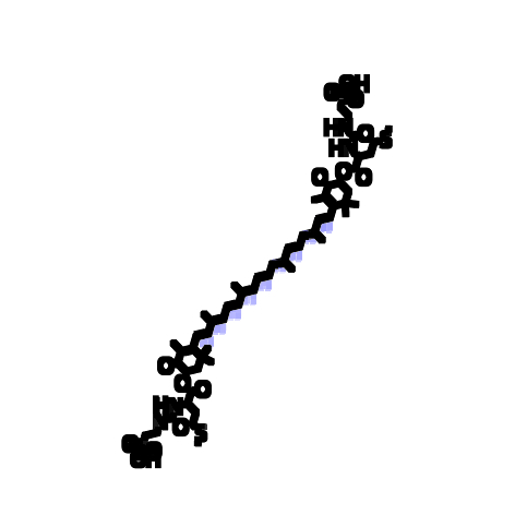 CSCCC(NC(=O)NCCS(=O)(=O)O)C(=O)OC1CC(C)(C)C(/C=C/C(C)=C/C=C/C(C)=C/C=C/C=C(C)/C=C/C=C(C)/C=C/C2=C(C)C(=O)C(OC(=O)C(CCSC)NC(=O)NCCS(=O)(=O)O)CC2(C)C)=C(C)C1=O